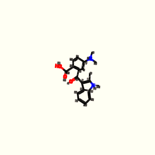 Cc1c(C(=O)c2cc(N(C)C)ccc2C(=O)O)c2ccccc2n1C